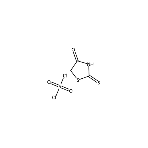 O=C1CSC(=S)N1.O=S(=O)(Cl)Cl